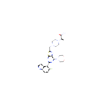 C=C(C(N)=O)N1CCN(Cc2nc3c(N4CCOCC4)nc(-c4c(F)ccc5[nH]ccc45)nc3s2)CC1